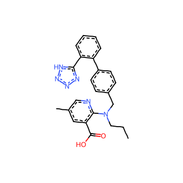 CCCN(Cc1ccc(-c2ccccc2-c2nnn[nH]2)cc1)c1ncc(C)cc1C(=O)O